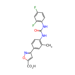 Cc1cc(-c2cc(C(=O)O)on2)ccc1NC(=O)Nc1ccc(F)cc1F